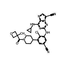 CC1(C(=O)N2CCC(c3cc(C#N)cc(Nc4nc(NC5CC5)c5ncc(C#N)n5n4)c3Cl)CC2)COC1